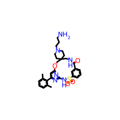 Cc1cccc(C)c1-c1cc2nc(n1)NS(=O)(=O)c1cccc(c1)C(=O)NCC1(CCN(CCCN)CC1)CO2